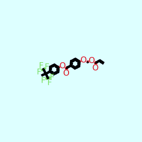 C=CC(=O)OCOc1ccc(C(=O)Oc2ccc(C(C)(C(F)(F)F)C(F)(F)F)cc2)cc1